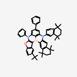 CC(C)(C)c1ccc2oc3c(c2c1)B1c2cc4c(cc2N(c2ccc5c(c2)C(C)(C)CCC5(C)C)c2cc(-c5ccccc5)cc(c21)N3c1ccccc1)C(C)(C)CCC4(C)C